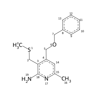 CSCc1c(COCc2ccccc2)cc(C)nc1N